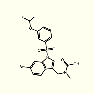 CN(Cc1cn(S(=O)(=O)c2cccc(OC(F)F)c2)c2cc(Br)ccc12)C(=O)O